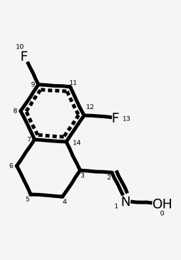 ON=CC1CCCc2cc(F)cc(F)c21